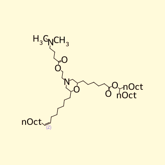 CCCCCCCC/C=C\CCCCCCC1CN(CCOC(=O)CCCN(C)C)CC(CCCCCC(=O)OC(CCCCCCCC)CCCCCCCC)O1